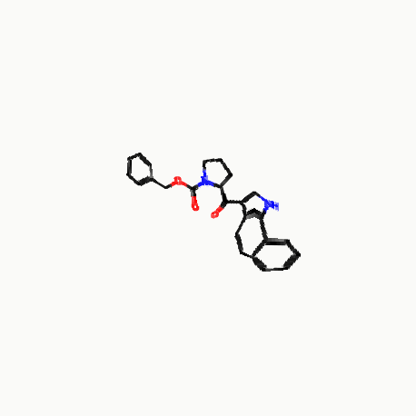 O=C(c1c[nH]c2c1ccc1ccccc12)[C@@H]1CCCN1C(=O)OCc1ccccc1